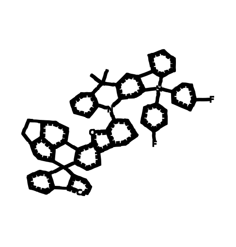 CC1(C)c2ccccc2N(c2cccc3c2oc2c4c(ccc23)C2(c3ccccc3-c3ccccc32)c2ccc3c5c(ccc-4c25)CC3)c2cc3c(cc21)-c1ccccc1[Si]3(c1ccc(F)cc1)c1ccc(F)cc1